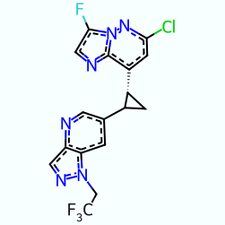 Fc1cnc2c([C@@H]3CC3c3cnc4cnn(CC(F)(F)F)c4c3)cc(Cl)nn12